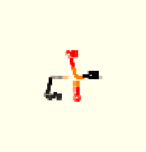 CNCP(C)(=O)O